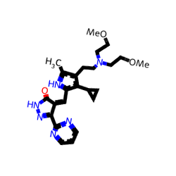 COCCN(CCOC)CCc1c(C)[nH]c(C=C2C(=O)NN=C2c2ncccn2)c1C1CC1